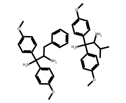 COc1ccc(C(N)(c2ccc(OC)cc2)C(N)C(C)C)cc1.COc1ccc(C(N)(c2ccc(OC)cc2)C(N)Cc2ccccc2)cc1